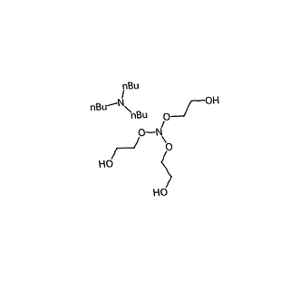 CCCCN(CCCC)CCCC.OCCON(OCCO)OCCO